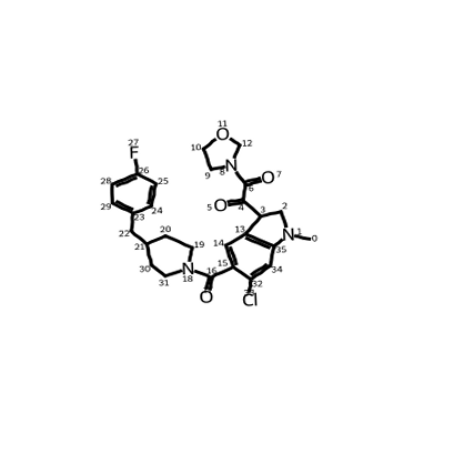 CN1CC(C(=O)C(=O)N2CCOC2)c2cc(C(=O)N3CCC(Cc4ccc(F)cc4)CC3)c(Cl)cc21